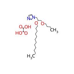 CCCCCCCCCCCCOC(COCCCC)Cn1ccnc1.O=C(O)C(=O)O